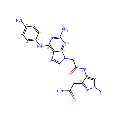 Cn1cc(NC(=O)Cn2cnc3c(Nc4ccc(N)cc4)nc(N)nc32)c(CC(N)=O)n1